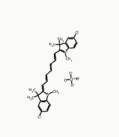 CN1C(=CC=CC=CC=CC2=[N+](C)c3ccc(Cl)cc3C2(C)C)C(C)(C)c2cc(Cl)ccc21.[O-][Cl+3]([O-])([O-])[O-]